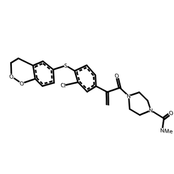 C=C(C(=O)N1CCN(C(=O)NC)CC1)c1ccc(Sc2ccc3c(c2)CCOO3)c(Cl)c1